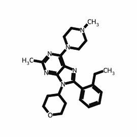 CCc1ccccc1-c1nc2c(N3CCN(C)CC3)nc(C)nc2n1C1CCOCC1